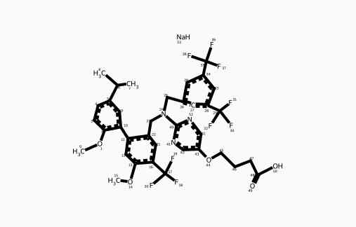 COc1ccc(C(C)C)cc1-c1cc(OC)c(C(F)(F)F)cc1CN(Cc1cc(C(F)(F)F)cc(C(F)(F)F)c1)c1ncc(OCCCC(=O)O)cn1.[NaH]